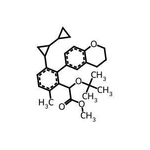 COC(=O)C(OC(C)(C)C)c1c(C)ccc(C2CC2C2CC2)c1-c1ccc2c(c1)CCCO2